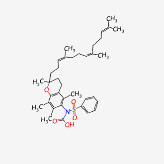 CC(C)=CCCC(C)=CCCC(C)=CCCC1(C)CCc2c(C)c(N(C(=O)O)S(=O)(=O)c3ccccc3)c(C)c(C)c2O1